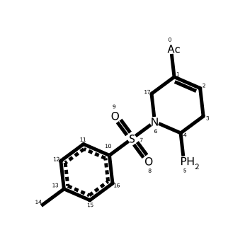 CC(=O)C1=CCC(P)N(S(=O)(=O)c2ccc(C)cc2)C1